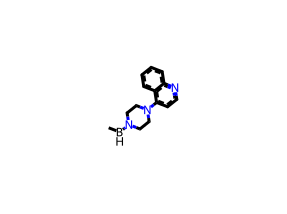 CBN1CCN(c2ccnc3ccccc23)CC1